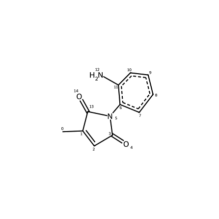 CC1=CC(=O)N(c2ccccc2N)C1=O